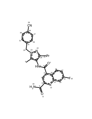 Cc1c(NC(=O)c2cc(C(N)=O)nc3cc(F)ccc23)c(C(C)C)nn1Cc1ccc(C#N)cc1